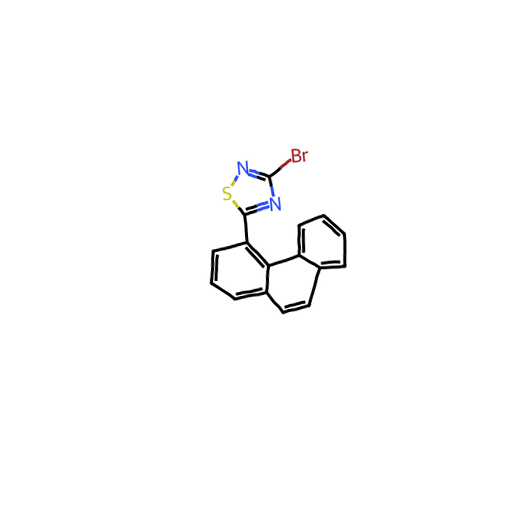 Brc1nsc(-c2cccc3ccc4ccccc4c23)n1